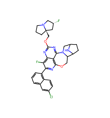 Fc1c(-c2cccc3cc(Cl)ccc23)nc2c3c(nc(OC[C@@]45CCCN4C[C@H](F)C5)nc13)N1CC3CCC(N3)C1CO2